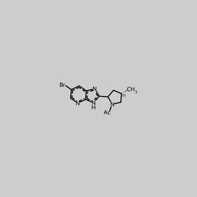 CC(=O)N1C[C@@H](C)CC1c1nc2cc(Br)cnc2[nH]1